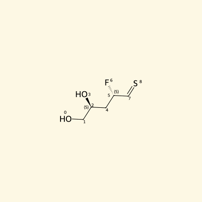 OC[C@@H](O)C[C@H](F)C=S